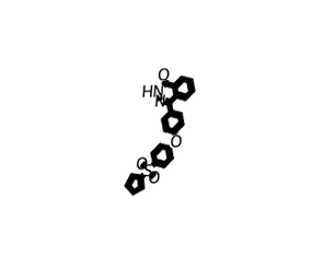 O=c1[nH]nc(-c2ccc(Oc3ccc(S(=O)(=O)C4=CCC=C4)cc3)cc2)c2ccccc12